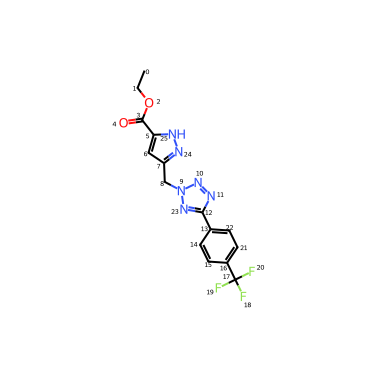 CCOC(=O)c1cc(Cn2nnc(-c3ccc(C(F)(F)F)cc3)n2)n[nH]1